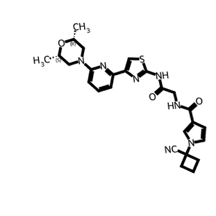 C[C@@H]1CN(c2cccc(-c3csc(NC(=O)CNC(=O)c4ccn(C5(C#N)CCC5)c4)n3)n2)C[C@H](C)O1